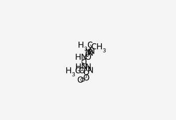 CCOc1cc(O[C@H]2CCOC2)cc2ncnc(Nc3ccc(NC(=O)Cn4cc(C(C)C)nn4)cc3)c12